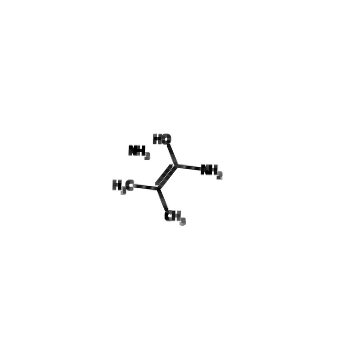 CC(C)=C(N)O.N